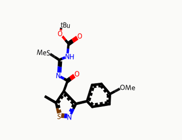 COc1ccc(-c2nsc(C)c2C(=O)N=C(NC(=O)OC(C)(C)C)SC)cc1